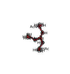 CCOC(COCCCOP(=O)(O)OCCCCCCO[C@@H]1OC(CO)[C@H](O)C(O)[C@@H]1NC(C)=O)(COCCCOP(=O)(O)OCCCCCCO[C@@H]1OC(CO)[C@H](O)C(O)[C@@H]1NC(C)=O)COCCCOP(=O)(O)OCCCCCCO[C@@H]1OC(CO)[C@H](O)C(O)[C@@H]1NC(C)=O